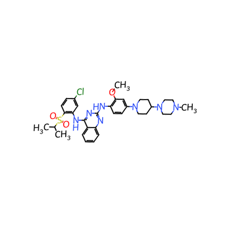 COc1cc(N2CCC(N3CCN(C)CC3)CC2)ccc1Nc1nc(Nc2cc(Cl)ccc2S(=O)(=O)C(C)C)c2ccccc2n1